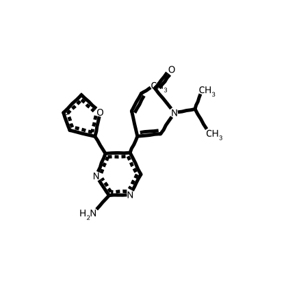 C/C=C\C(=C/N(C=O)C(C)C)c1cnc(N)nc1-c1ccco1